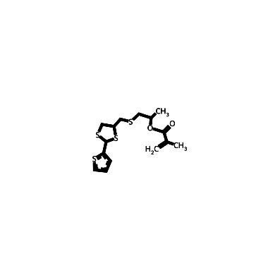 C=C(C)C(=O)OC(C)CSCC1CSC(c2cccs2)S1